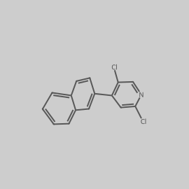 Clc1cc(-c2ccc3ccccc3c2)c(Cl)cn1